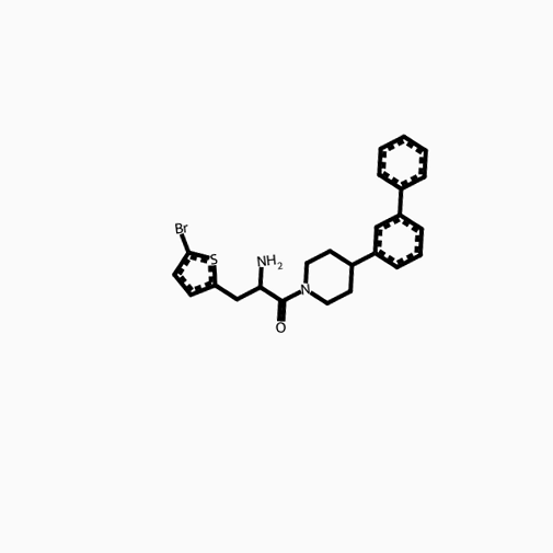 NC(Cc1ccc(Br)s1)C(=O)N1CCC(c2cccc(-c3ccccc3)c2)CC1